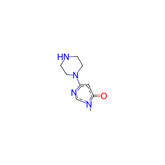 Cn1cnc(N2CCNCC2)cc1=O